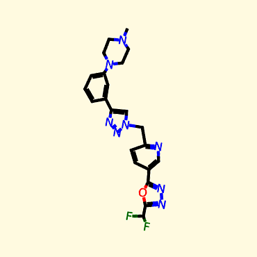 CN1CCN(c2cccc(-c3cn(Cc4ccc(-c5nnc(C(F)F)o5)cn4)nn3)c2)CC1